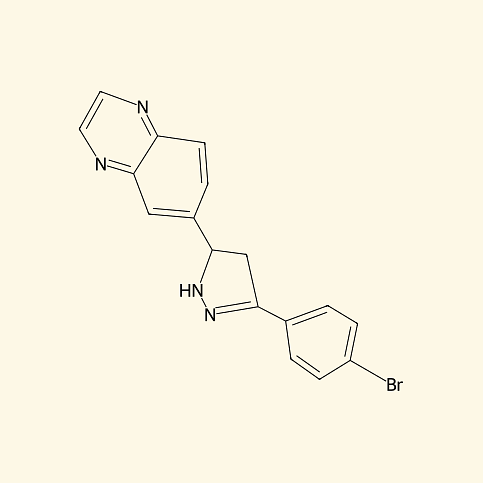 Brc1ccc(C2=NNC(c3ccc4nccnc4c3)C2)cc1